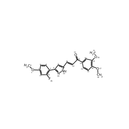 COc1ccc(-c2cc(C=CC(=O)c3ccc(OC)c(OC)c3)[nH]n2)c(F)c1